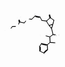 CCOC(=O)COC/C=C\CC1C(=O)CC2C1C2C(O)C(O)C(F)c1ccccc1